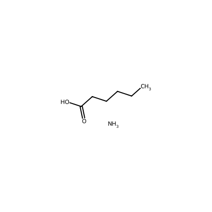 CCCCCC(=O)O.N